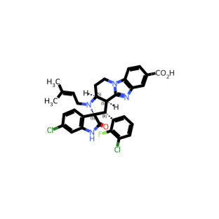 CC(C)=CCN1[C@H]2CCn3c(nc4cc(C(=O)O)ccc43)[C@H]2[C@H](c2cccc(Cl)c2F)[C@]12C(=O)Nc1cc(Cl)ccc12